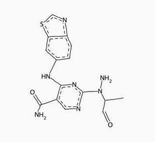 CC(C=O)N(N)c1ncc(C(N)=O)c(Nc2ccc3ncsc3c2)n1